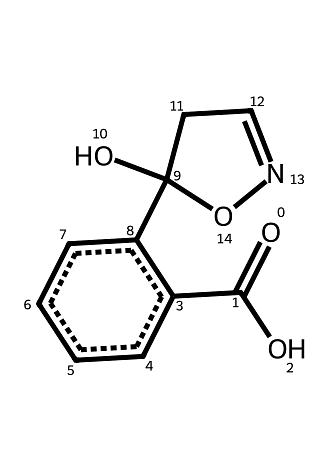 O=C(O)c1ccccc1C1(O)CC=NO1